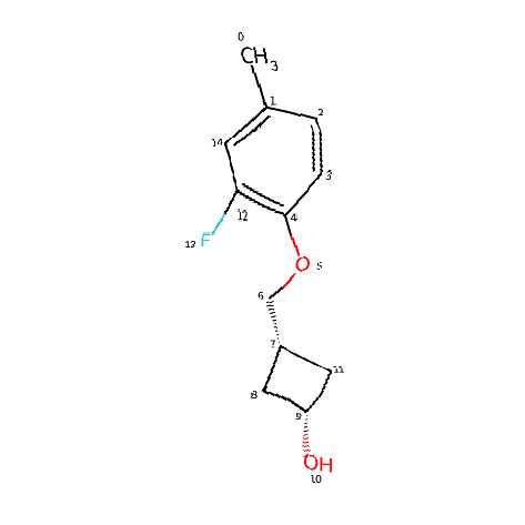 Cc1ccc(OC[C@H]2C[C@@H](O)C2)c(F)c1